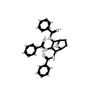 O=C(OC1C2CCC(O2)C(OC(=O)c2ccccc2)C1OC(=O)c1ccccc1)c1ccccc1